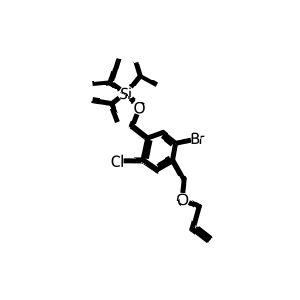 C=CCOCc1cc(Cl)c(CO[Si](C(C)C)(C(C)C)C(C)C)cc1Br